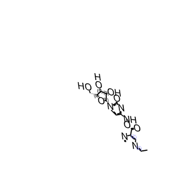 C=N/C(=C\N=C/C)C(=O)ONc1ccn([C@@H]2O[C@H](CO)[C@@H](O)[C@H]2O)c(=O)n1